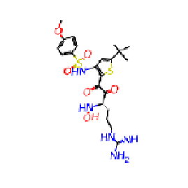 COc1ccc(S(=O)(=O)Nc2cc(C(C)(C)C)sc2C(=O)C(=O)[C@H](CCCNC(=N)N)NO)cc1